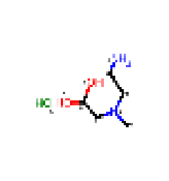 CN(CCN)CC(O)O.Cl